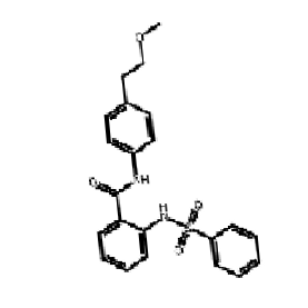 COCCc1ccc(NC(=O)c2ccccc2NS(=O)(=O)c2ccccc2)cc1